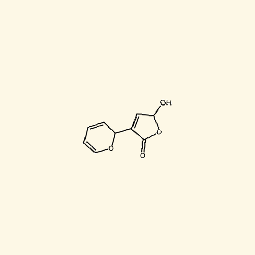 O=C1OC(O)C=C1C1C=CC=CO1